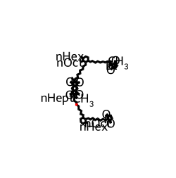 CCCCCCCCC1C(CCCCCC)CCC(CCCCCCCCC(C)(CCCCCCC)n2c(=O)c3cc4c(=O)n(CCCCCCCCC5C(CCCCCCCCC(C)(CC)N6C(=O)C=CC6=O)CCC(CCCCCC)C5CCCCCCCC)c(=O)c4cc3c2=O)C1CCCCCCCCN1C(=O)C=CC1=O